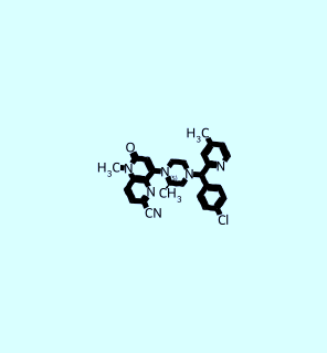 Cc1ccnc(C(c2ccc(Cl)cc2)N2CCN(c3cc(=O)n(C)c4ccc(C#N)nc34)[C@@H](C)C2)c1